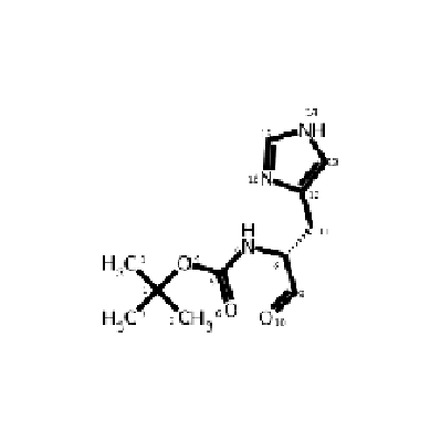 CC(C)(C)OC(=O)N[C@@H](C=O)Cc1c[nH]cn1